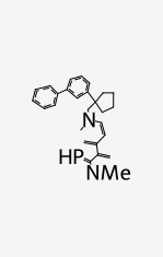 C=C(/C=C\N(C)CC1(c2cccc(-c3ccccc3)c2)CCCC1)C(=C)C(=P)NC